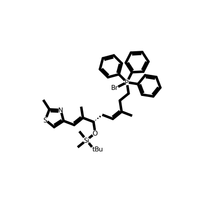 C/C(=C/C[C@H](O[Si](C)(C)C(C)(C)C)/C(C)=C/c1csc(C)n1)CCP(Br)(c1ccccc1)(c1ccccc1)c1ccccc1